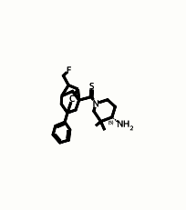 CC1(C)CN(C(=S)C23CC4CC(c5ccccc5)(CC2C4CF)C3)CC[C@@H]1N